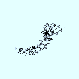 Cc1ccc(C(C)C)c(N2C(=O)CCS/C2=N\C(=O)NCCc2ccc(-c3ncn(-c4ccc(OC(F)(F)F)cc4)n3)cc2)c1